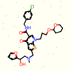 CN(Cc1cc2c(=O)c(C(=O)NCc3ccc(Cl)cc3)cn(CCCOC3CCCCO3)c2s1)C[C@@H](O)c1ccco1